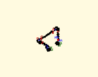 O=C(CCCCCCCCCCC(=O)OCN1C(=O)CCc2ccc(OCCCCN3CCN(c4cccc(Cl)c4Cl)CC3)cc21)OCN1C(=O)CCc2ccc(OCCCCNCCNc3cccc(Cl)c3Cl)cc21